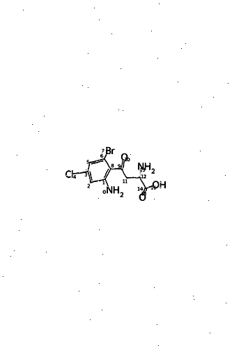 Nc1cc(Cl)cc(Br)c1C(=O)C[C@H](N)C(=O)O